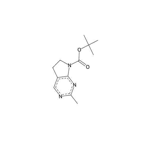 Cc1ncc2c(n1)N(C(=O)OC(C)(C)C)CC2